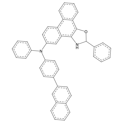 c1ccc(C2Nc3c(c4ccccc4c4ccc(N(c5ccccc5)c5ccc(-c6ccc7ccccc7c6)cc5)cc34)O2)cc1